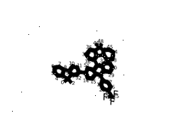 CC1(C)c2ccccc2-c2ccc(-c3ccc4c(-c5ccc(C(F)(F)F)cc5)c5ccccc5c(-c5cccc6c5-c5ccccc5C6(C)C)c4c3)cc21